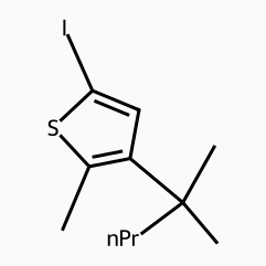 CCCC(C)(C)c1cc(I)sc1C